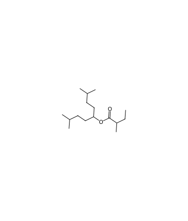 CCC(C)C(=O)OC(CCC(C)C)CCC(C)C